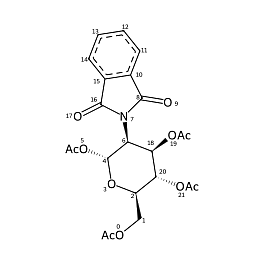 CC(=O)OC[C@H]1O[C@H](OC(C)=O)[C@@H](N2C(=O)c3ccccc3C2=O)[C@@H](OC(C)=O)[C@@H]1OC(C)=O